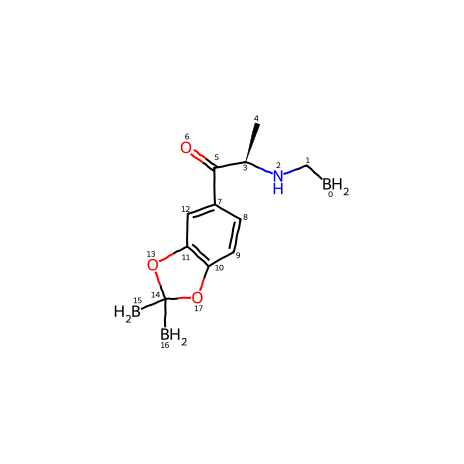 BCN[C@H](C)C(=O)c1ccc2c(c1)OC(B)(B)O2